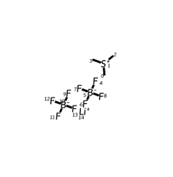 C[S+](C)C.F[B-](F)(F)F.F[B-](F)(F)F.[Li+]